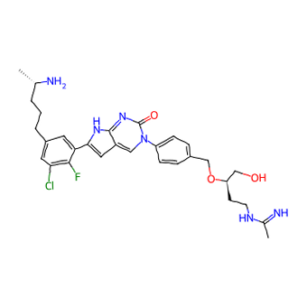 CC(=N)NCC[C@H](CO)OCc1ccc(-n2cc3cc(-c4cc(CCC[C@H](C)N)cc(Cl)c4F)[nH]c3nc2=O)cc1